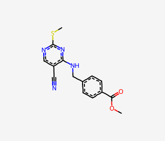 COC(=O)c1ccc(CNc2nc(SC)ncc2C#N)cc1